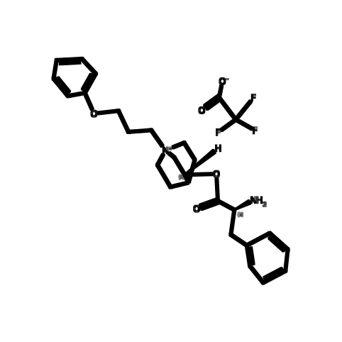 N[C@@H](Cc1ccccc1)C(=O)O[C@H]1C[N+]2(CCCOc3ccccc3)CCC1CC2.O=C([O-])C(F)(F)F